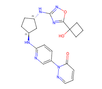 O=c1cccnn1-c1ccc(N[C@H]2CC[C@H](Nc3noc(C4(O)CCC4)n3)C2)nc1